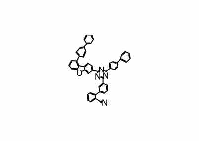 N#Cc1ccccc1-c1cccc(-c2nc(-c3ccc(-c4ccccc4)cc3)nc(-c3ccc4c(c3)oc3cccc(-c5ccc(-c6ccccc6)cc5)c34)n2)c1